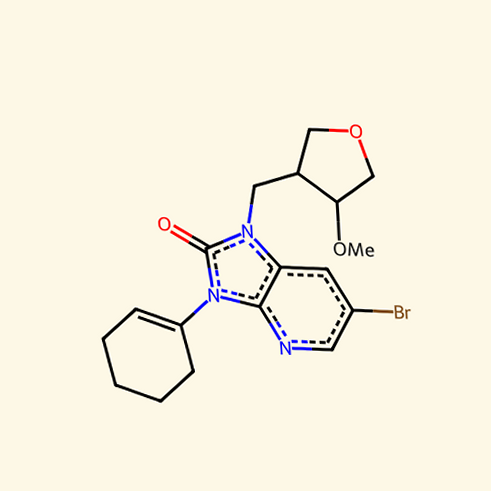 COC1COCC1Cn1c(=O)n(C2=CCCCC2)c2ncc(Br)cc21